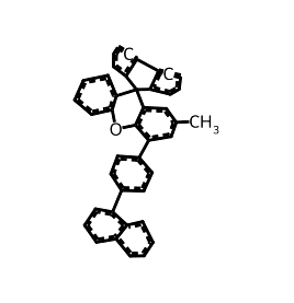 Cc1cc(-c2ccc(-c3cccc4ccccc34)cc2)c2c(c1)C1(c3ccccc3O2)c2ccccc2-c2ccccc21